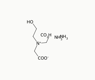 N.N.O=C([O-])C[N+](CCO)CC(=O)O